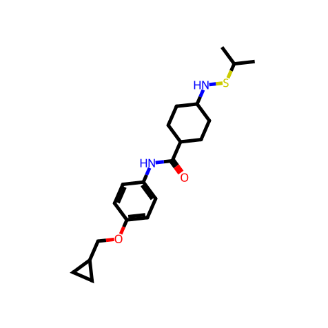 CC(C)SNC1CCC(C(=O)Nc2ccc(OCC3CC3)cc2)CC1